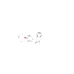 CCOC(=O)c1nc2ccccc2n([C@@H]2C[C@@H]3CN(C)C[C@H](C2)N3C2CCCCCCC2)c1=O